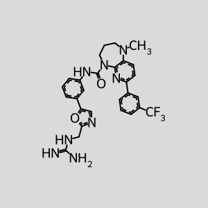 CN1CCCN(C(=O)Nc2cccc(-c3cnc(CNC(=N)N)o3)c2)c2nc(-c3cccc(C(F)(F)F)c3)ccc21